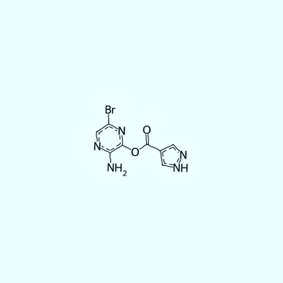 Nc1ncc(Br)nc1OC(=O)c1cn[nH]c1